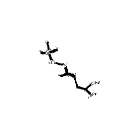 CCCC(C#N)CC/C(C)=N/O[Si](C)(C)C